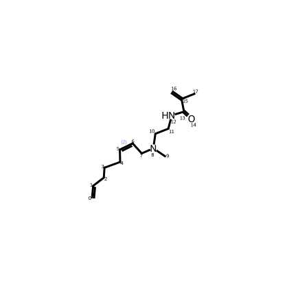 C=CCCC/C=C\CN(C)CCNC(=O)C(=C)C